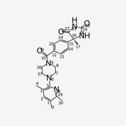 Cc1cc(C)c(N2CCN(C(=O)c3ccc([C@@]4(C)NC(=O)NC4=O)cc3)CC2)nc1C